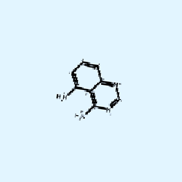 Nc1cccc2n[c]nc(N)c12